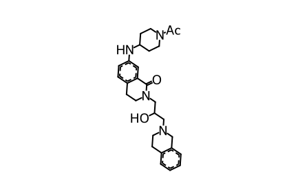 CC(=O)N1CCC(Nc2ccc3c(c2)C(=O)N(CC(O)CN2CCc4ccccc4C2)CC3)CC1